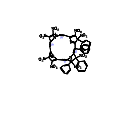 O=[N+]([O-])C1=C2/C=c3\[nH]/c(c([N+](=O)[O-])c3[N+](=O)[O-])=C\c3[nH]c(c([N+](=O)[O-])c3[N+](=O)[O-])/C=C3\N/C(=C(/c4ccccc4)C(=N2)C1(c1ccccc1)[N+](=O)[O-])C(c1ccccc1)([N+](=O)[O-])C3(c1ccccc1)[N+](=O)[O-]